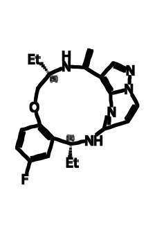 C=C1N[C@@H](CC)COc2ccc(F)cc2[C@@H](CC)Nc2ccn3ncc1c3n2